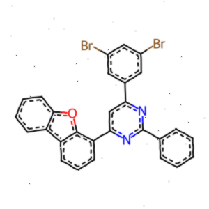 Brc1cc(Br)cc(-c2cc(-c3cccc4c3oc3ccccc34)nc(-c3ccccc3)n2)c1